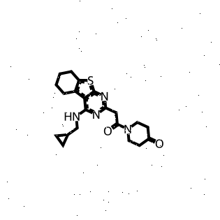 O=C1CCN(C(=O)Cc2nc(NCC3CC3)c3c4c(sc3n2)CCCC4)CC1